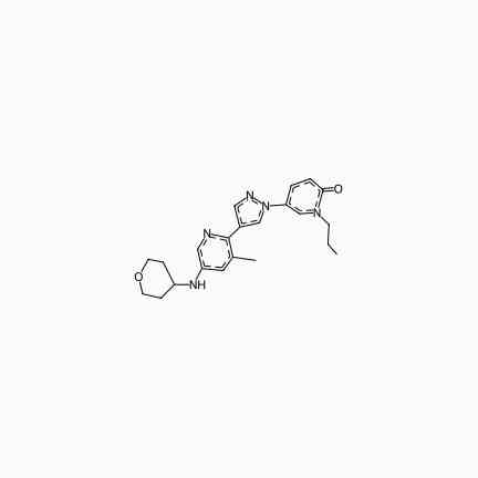 CCCn1cc(-n2cc(-c3ncc(NC4CCOCC4)cc3C)cn2)ccc1=O